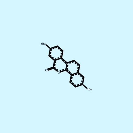 CC(C)(C)c1ccc2c(ccc3c4ccc(C(C)(C)C)cc4c(=O)oc23)c1